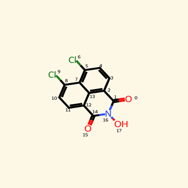 O=C1c2ccc(Cl)c3c(Cl)ccc(c23)C(=O)N1O